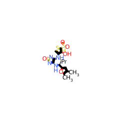 Cc1cc([C@H](Nc2n[s+]([O-])nc2Nc2csc([SH](=O)=O)c2O)C(C)C)oc1C